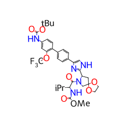 COC(=O)NC(C(=O)N1CC2(CC1c1nc(-c3ccc(-c4ccc(NC(=O)OC(C)(C)C)cc4OC(F)(F)F)cc3)c[nH]1)OCCO2)C(C)C